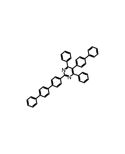 c1ccc(-c2ccc(-c3ccc(-c4nc(-c5ccccc5)c(-c5ccc(-c6ccccc6)cc5)c(-c5ccccc5)n4)cc3)cc2)cc1